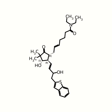 CCN(CC)C(=O)CCCC=CC[C@H]1C(=O)C(C)(C)[C@@H](O)[C@@H]1C=CC(O)Cc1cc2ccccc2s1